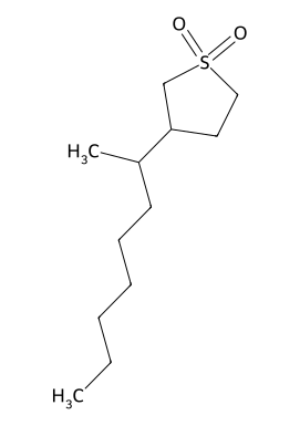 CCCCCCC(C)C1CCS(=O)(=O)C1